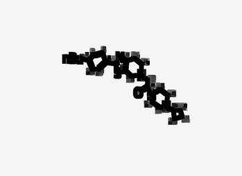 CCCCc1ccc(-c2nc3c(s2)CN(CC(=O)N2CCN(C4CCC4)CC2)CC3)cc1